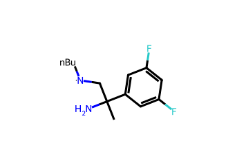 CCCC[N]CC(C)(N)c1cc(F)cc(F)c1